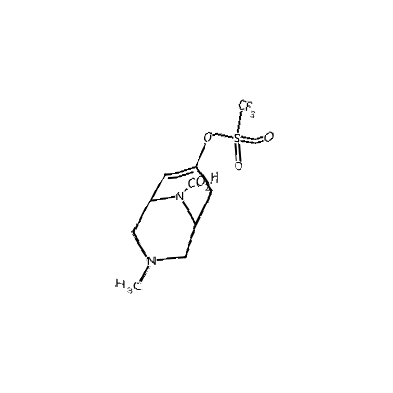 CN1CC2C=C(OS(=O)(=O)C(F)(F)F)CC(C1)N2C(=O)O